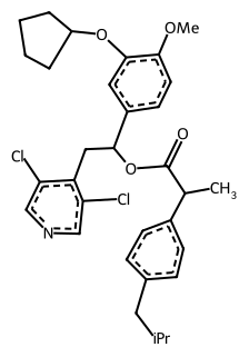 COc1ccc(C(Cc2c(Cl)cncc2Cl)OC(=O)C(C)c2ccc(CC(C)C)cc2)cc1OC1CCCC1